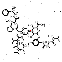 CC[C@H](C)[C@@H]([C@@H](CC(=O)N1CCC[C@H]1[C@H](OC)[C@@H](C)C(=O)N[C@H](C)[C@@H](O)c1ccccc1)OC)N(C)C(=O)[C@@H](NC(=O)[C@H](C(C)C)N(C)C(=O)OCc1ccc(NC(=O)[C@H](C)NC(=O)[C@@H](N)C(C)C)c(OC2OC(C(=O)O)C(O)C(O)C2O)c1)C(C)C